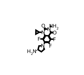 N[C@H]1CCN(c2c(F)c(F)c3c(=O)n(N)c(=O)n(C4CC4)c3c2F)C1